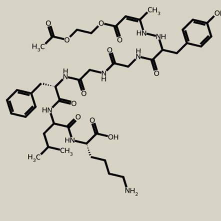 CC(=O)OCCOC(=O)/C=C(/C)NNC(Cc1ccc(O)cc1)C(=O)NCC(=O)NCC(=O)N[C@@H](Cc1ccccc1)C(=O)NC(CC(C)C)C(=O)N[C@@H](CCCCN)C(=O)O